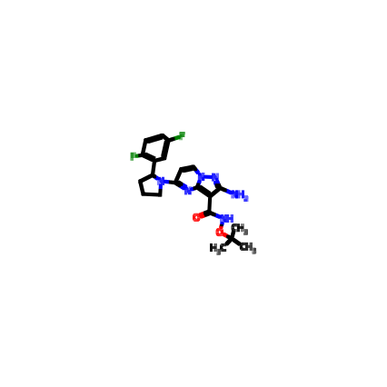 CC(C)(C)ONC(=O)c1c(N)nn2ccc(N3CCCC3c3cc(F)ccc3F)nc12